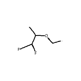 [CH2]COC(C)C(F)F